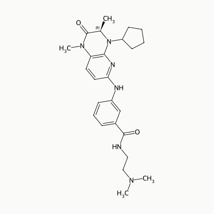 C[C@@H]1C(=O)N(C)c2ccc(Nc3cccc(C(=O)NCCN(C)C)c3)nc2N1C1CCCC1